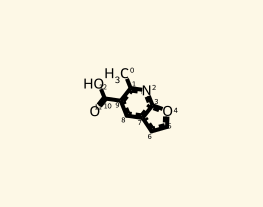 Cc1nc2occc2cc1C(=O)O